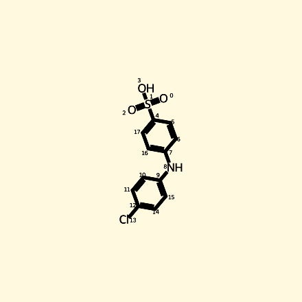 O=S(=O)(O)c1ccc(Nc2ccc(Cl)cc2)cc1